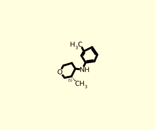 Cc1cccc(NC2CCOC[C@H]2C)c1